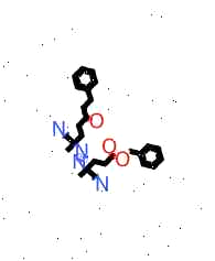 CC(C#N)(CCC(=O)CCc1ccccc1)/N=N/C(C)(C#N)CCC(=O)OCc1ccccc1